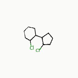 ClC1CCCCC1C1CCCC1Cl